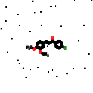 COc1ccc(C=CC(=O)c2ccc(Cl)cc2)cc1OC